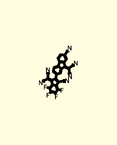 N#CC(C#N)=C1c2cc(C#N)ccc2-c2ccc(C3=C(C#N)c4c(F)c(F)c(F)c(F)c4C3=C(C#N)C#N)cc21